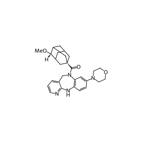 CO[C@H]1C2CC3CC1C[C@](C(=O)N1Cc4cccnc4Nc4ccc(N5CCOCC5)cc41)(C3)C2